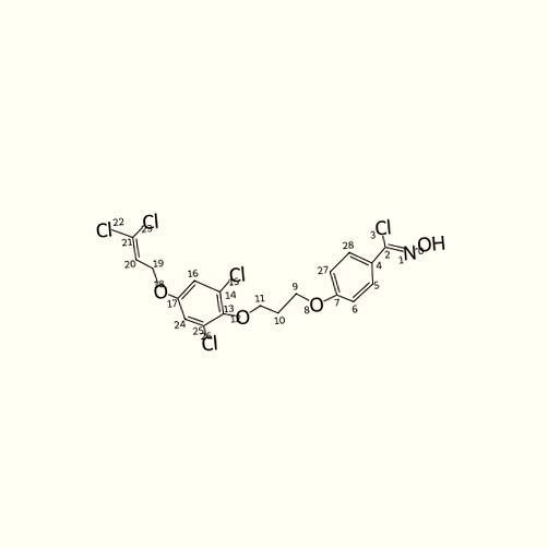 ON=C(Cl)c1ccc(OCCCOc2c(Cl)cc(OCC=C(Cl)Cl)cc2Cl)cc1